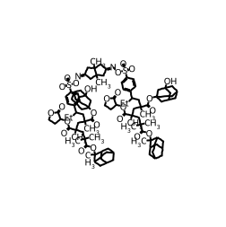 CCC(CC(C)(CC(C)(CC(C)(C)C(=O)OC1(C)C2CC3CC(C2)CC1C3)C(=O)OC1CCOC1=O)C(=O)OC12CC3CC(CC(O)(C3)C1)C2)c1ccc(S(=O)(=O)ON=C2CC3(C)CC(=NOS(=O)(=O)c4ccc(C(CC)CC(C)(CC(C)(CC(C)(C)C(=O)OC5(C)C6CC7CC(C6)CC5C7)C(=O)OC5CCOC5=O)C(=O)OC56CC7CC(CC(O)(C7)C5)C6)cc4)CC3(C)C2)cc1